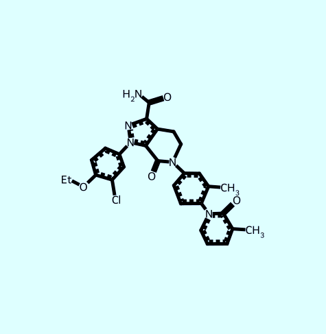 CCOc1ccc(-n2nc(C(N)=O)c3c2C(=O)N(c2ccc(-n4cccc(C)c4=O)c(C)c2)CC3)cc1Cl